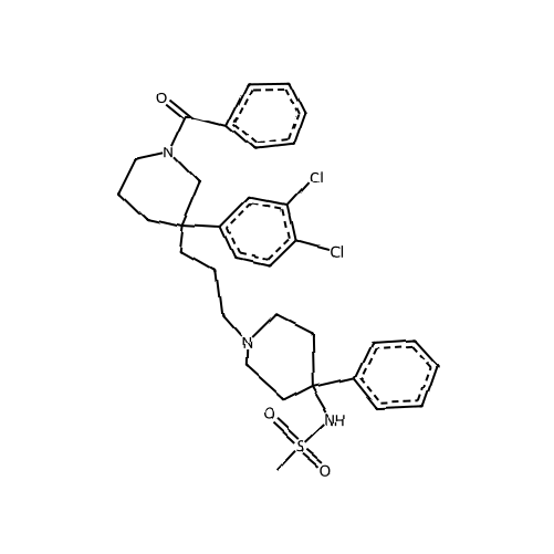 CS(=O)(=O)NC1(c2ccccc2)CCN(CCCC2(c3ccc(Cl)c(Cl)c3)CCCN(C(=O)c3ccccc3)C2)CC1